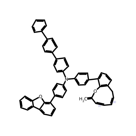 C=C1/C=C\C=C/Cc2cccc(-c3ccc(N(c4ccc(-c5ccc(-c6ccccc6)cc5)cc4)c4ccc(-c5cccc6c5oc5ccccc56)cc4)cc3)c2O1